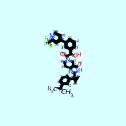 CC(C)c1cccc(C2(c3nc4c(c(=O)[nH]3)CN(C(=O)[C@H](O)c3cccc(-c5ccnc(C(F)(F)F)c5)c3)CC4)CC2)c1